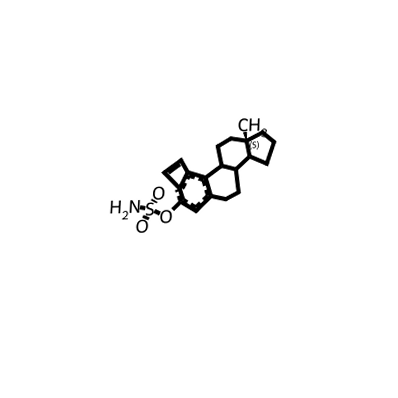 C[C@@]12CCCC1C1CCc3cc(OS(N)(=O)=O)c4c(c3C1CC2)C=C4